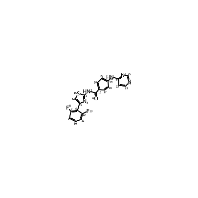 O=C(Nc1nc(-c2c(F)cccc2F)cs1)c1ccc(Nc2ccncn2)cc1